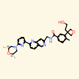 Cc1ccc(C(=O)NCc2cc3nc(-c4cccc(N5C[C@@H](C)O[C@@H](C)C5)n4)ccc3cn2)cc1C1(CCO)COC1